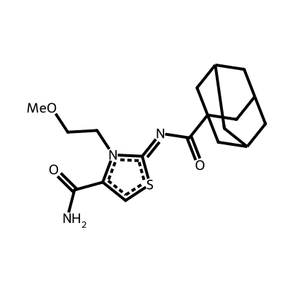 COCCn1c(C(N)=O)csc1=NC(=O)C12CC3CC(CC(C3)C1)C2